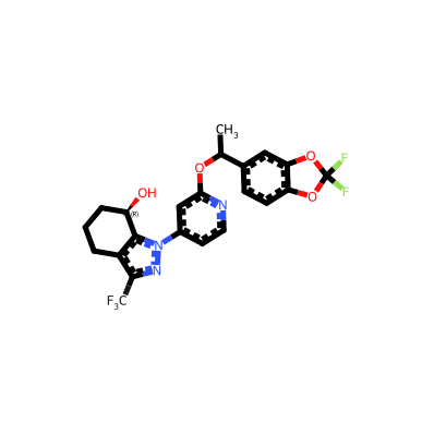 CC(Oc1cc(-n2nc(C(F)(F)F)c3c2[C@H](O)CCC3)ccn1)c1ccc2c(c1)OC(F)(F)O2